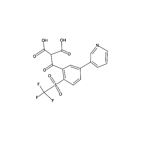 O=C(O)C(C(=O)O)C(=O)c1cc(-c2cccnc2)ccc1S(=O)(=O)C(F)(F)F